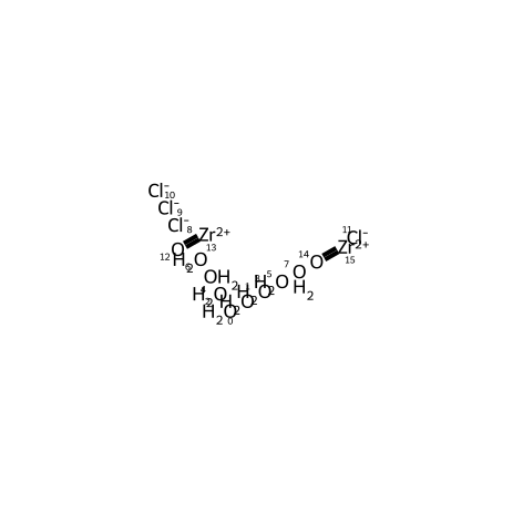 O.O.O.O.O.O.O.O.[Cl-].[Cl-].[Cl-].[Cl-].[O]=[Zr+2].[O]=[Zr+2]